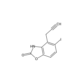 C#CCc1c(I)ccc2oc(=O)[nH]c12